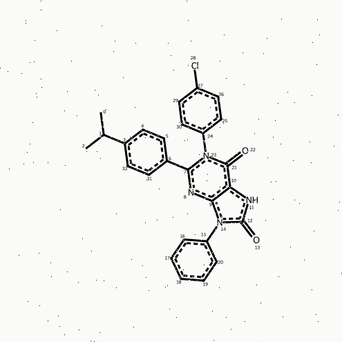 CC(C)c1ccc(-c2nc3c([nH]c(=O)n3-c3ccccc3)c(=O)n2-c2ccc(Cl)cc2)cc1